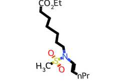 CCCC=CN(CCCCCCC(=O)OCC)S(C)(=O)=O